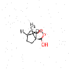 CC1(C)[C@@H]2CC[C@@]1(C(=O)O)C(=O)C2